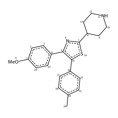 COc1ccc(-c2nc(C3CCNCC3)sc2-c2ccc(C)cc2)cc1